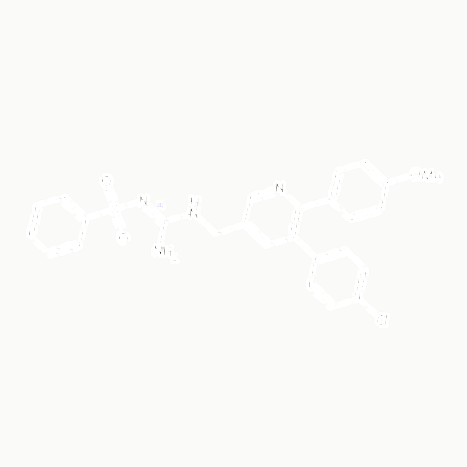 COc1ccc(-c2ncc(CN/C(N)=N/S(=O)(=O)c3ccccc3)cc2-c2ccc(Cl)cc2)cc1